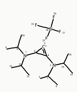 CC(C)N(C1=[C+]C1N(C(C)C)C(C)C)C(C)C.F[B-](F)(F)F